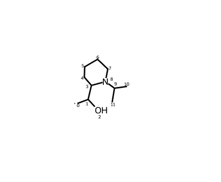 [CH2]C(O)C1CCCCN1C(C)C